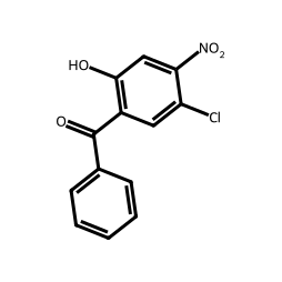 O=C(c1ccccc1)c1cc(Cl)c([N+](=O)[O-])cc1O